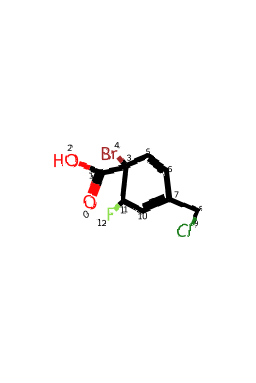 O=C(O)C1(Br)C=CC(CCl)=CC1F